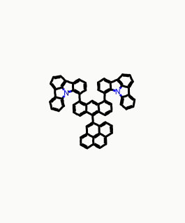 c1cc2ccc3cccc4c(-c5c6cccc(-c7cccc8c9cccc%10c%11ccccc%11n(c78)c%109)c6cc6c(-c7cccc8c9cccc%10c%11ccccc%11n(c78)c%109)cccc56)cc(c1)c2c34